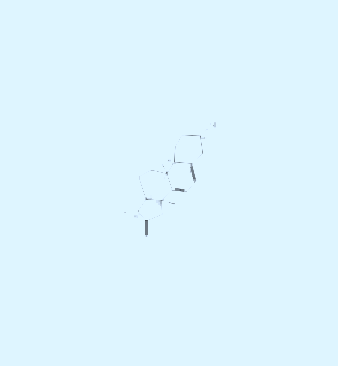 C[C@]12CC[C@H]3C(=CC=C4C[C@H](N)CC[C@@]43C)[C@@H]1CC(=O)[C@@H]2O